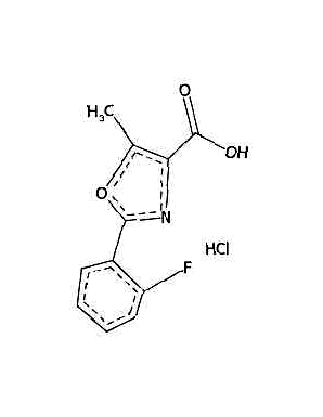 Cc1oc(-c2ccccc2F)nc1C(=O)O.Cl